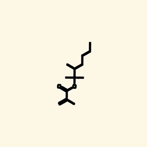 C=C(C)C(=O)OC(C)(C)C(C)CCCC